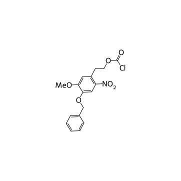 COc1cc(CCOC(=O)Cl)c([N+](=O)[O-])cc1OCc1ccccc1